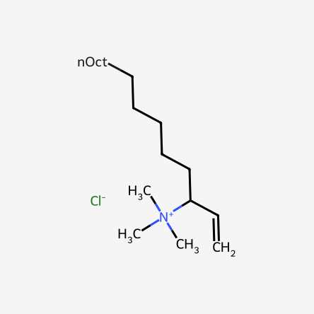 C=CC(CCCCCCCCCCCCC)[N+](C)(C)C.[Cl-]